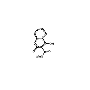 CNC(=O)c1c(O)c2ccccc2oc1=O